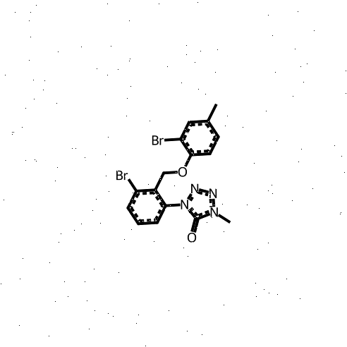 Cc1ccc(OCc2c(Br)cccc2-n2nnn(C)c2=O)c(Br)c1